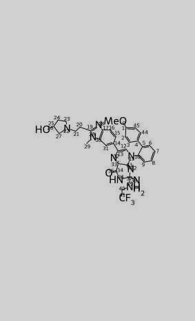 COc1ccc(-c2ccccc2N2C=C(c3ccc4nc(CCN5CCC(O)C5)n(C)c4c3)N=C3C(=O)NC(N)(NCC(F)(F)F)N=C32)cc1